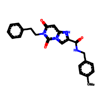 COc1ccc(CNC(=O)c2cn3c(=O)n(CCc4ccccc4)c(=O)cc3[nH]2)cc1